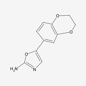 Nc1ncc(-c2ccc3c(c2)OCCO3)o1